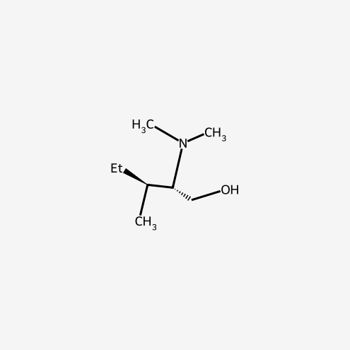 CC[C@H](C)[C@@H](CO)N(C)C